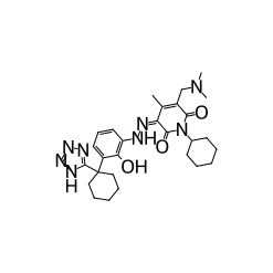 CC1=C(CN(C)C)C(=O)N(C2CCCCC2)C(=O)C1=NNc1cccc(C2(c3nnn[nH]3)CCCCC2)c1O